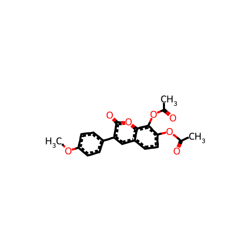 COc1ccc(-c2cc3ccc(OC(C)=O)c(OC(C)=O)c3oc2=O)cc1